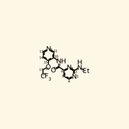 CCNc1nccc(C(=O)Nc2cnccc2OCC(F)(F)F)n1